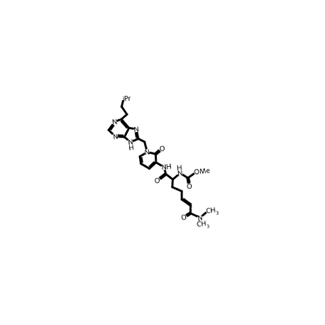 COC(=O)NC(CCC=CC(=O)N(C)C)C(=O)Nc1cccn(Cc2nc3c(CCC(C)C)ncnc3[nH]2)c1=O